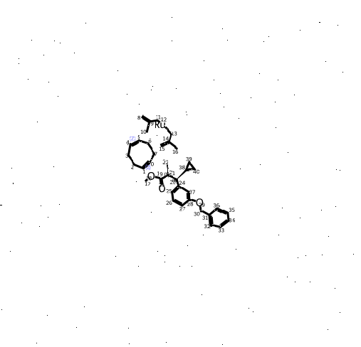 C1=C\CC/C=C\CC/1.C=C(C)[CH2][Ru][CH2]C(=C)C.COC(=O)[C@@H](C)[C@H](c1cccc(OCc2ccccc2)c1)C1CC1